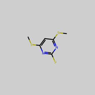 CSc1cc(SC)nc([S])n1